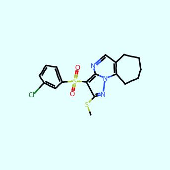 CSc1nn2c3c(cnc2c1S(=O)(=O)c1cccc(Cl)c1)CCCCC3